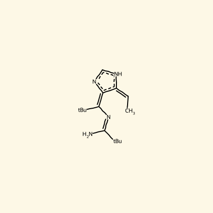 C/C=c1/[nH]cn/c1=C(/N=C(\N)C(C)(C)C)C(C)(C)C